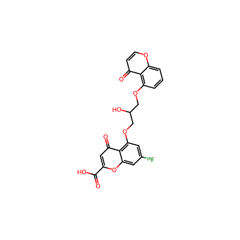 O=C(O)c1cc(=O)c2c(OCC(O)COc3cccc4occc(=O)c34)cc([18F])cc2o1